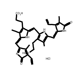 C=CC1=C(C)C(C=c2[nH]c(=Cc3[nH]c(C=C4NC(=O)C(C)=C4C=C)c(C)c3CCC(=O)O)c(CCC(=O)O)c2C)=NC1=O.Cl